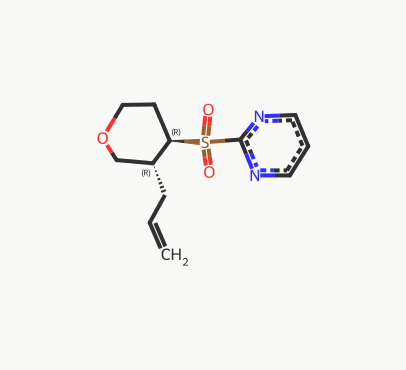 C=CC[C@@H]1COCC[C@H]1S(=O)(=O)c1ncccn1